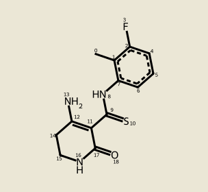 Cc1c(F)cccc1NC(=S)C1=C(N)CCNC1=O